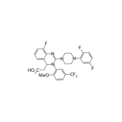 COc1ccc(C(F)(F)F)cc1N1C(N2CCN(c3cc(F)ccc3F)CC2)=Nc2c(F)cccc2C1CC(=O)O